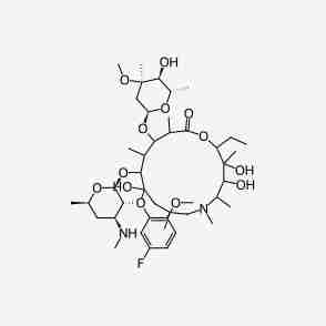 CCC1OC(=O)C(C)C(O[C@H]2C[C@@](C)(OC)[C@@H](O)[C@H](C)O2)C(C)C(O[C@@H]2O[C@H](C)C[C@H](NC)[C@H]2Oc2cc(F)ccc2OC)C(C)(O)CC(C)CN(C)C(C)C(O)C1(C)O